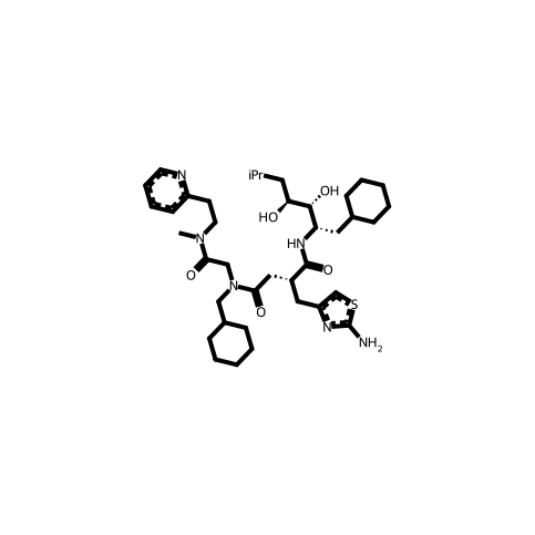 CC(C)C[C@H](O)[C@H](O)[C@H](CC1CCCCC1)NC(=O)[C@@H](CC(=O)N(CC(=O)N(C)CCc1ccccn1)CC1CCCCC1)Cc1csc(N)n1